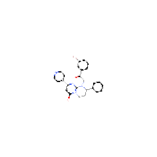 O=C(CN1c2nc(-c3ccncc3)cc(=O)n2CCC1c1ccccc1)c1cccc(Br)c1